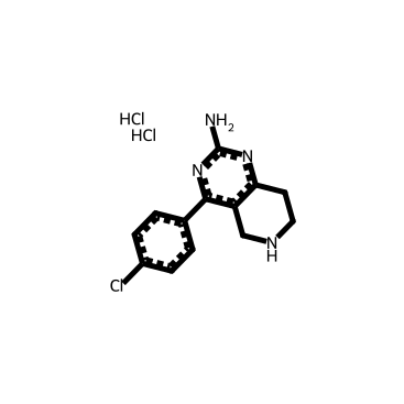 Cl.Cl.Nc1nc2c(c(-c3ccc(Cl)cc3)n1)CNCC2